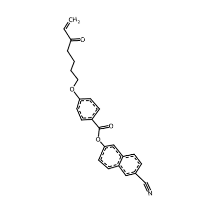 C=CC(=O)CCCCOc1ccc(C(=O)Oc2ccc3cc(C#N)ccc3c2)cc1